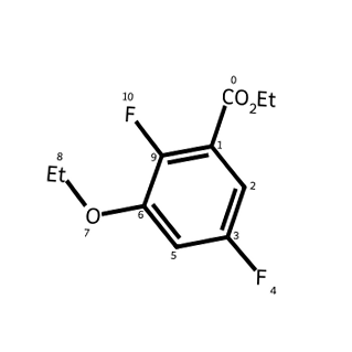 CCOC(=O)c1cc(F)cc(OCC)c1F